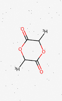 [3H]C1OC(=O)C([3H])OC1=O